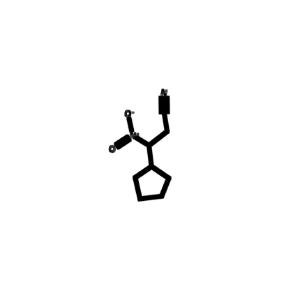 N#CCC(C1CCCC1)[N+](=O)[O-]